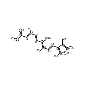 COC(=O)C=C(C)C=CC(F)=C(C)C=Cc1c(C)sc(C)c1C